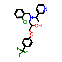 CC(c1cccnc1)N(Cc1ccccc1Cl)CC(O)COc1ccc(C(F)(F)F)cc1